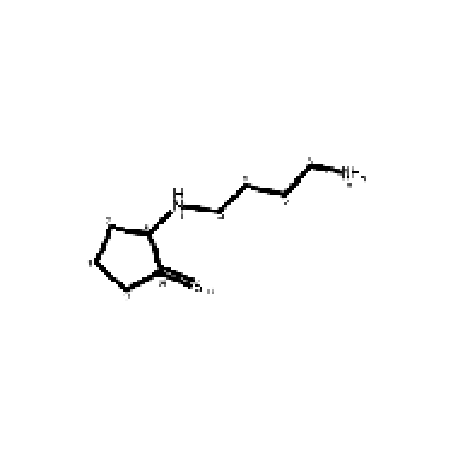 NCCCCNC1CCCC1=S